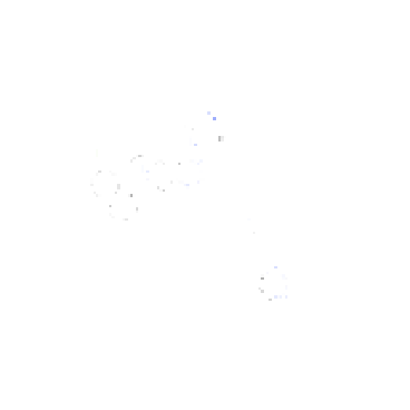 C#Cc1c(F)ccc2cccc(-c3nc4c5c(nc(OC[C@@]67CCCN6[C@H](COc6ccnc(C(F)F)n6)CC7)nc5c3F)N3C[C@@H](CCC)NC[C@H]3CCC4)c12